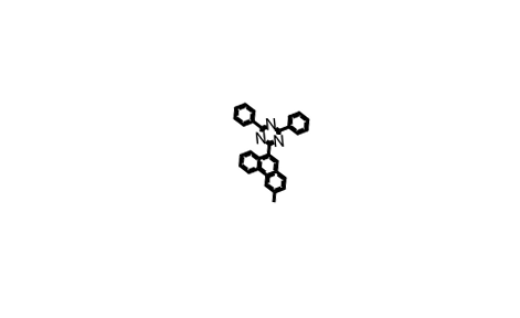 Cc1ccc2cc(-c3nc(-c4ccccc4)nc(-c4ccccc4)n3)c3ccccc3c2c1